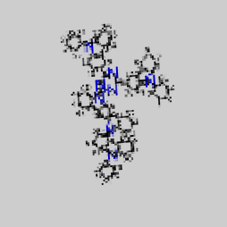 c1ccc(-n2c3ccccc3c3cc(-c4nc(-c5ccc6c(c5)c5ccccc5n6-c5ccccc5)nc(-n5c6ccccc6c6cc7c(cc65)c5ccccc5n7-c5cccc6c5c5ccccc5n6-c5ccccc5)n4)ccc32)cc1